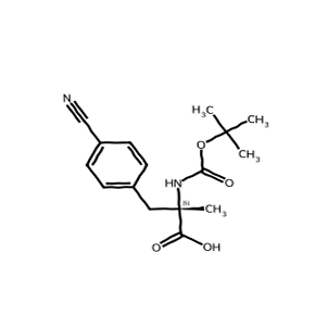 CC(C)(C)OC(=O)N[C@@](C)(Cc1ccc(C#N)cc1)C(=O)O